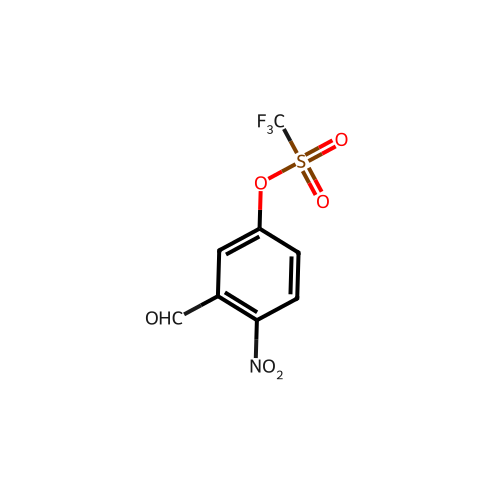 O=Cc1cc(OS(=O)(=O)C(F)(F)F)ccc1[N+](=O)[O-]